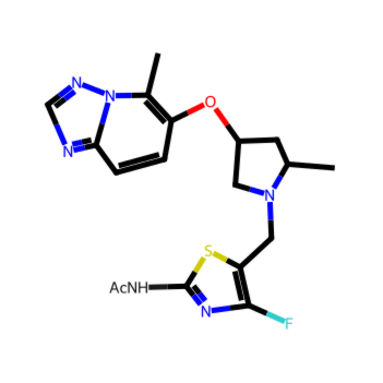 CC(=O)Nc1nc(F)c(CN2CC(Oc3ccc4ncnn4c3C)CC2C)s1